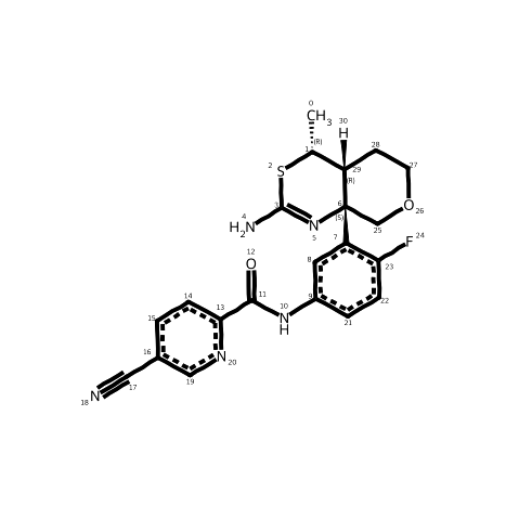 C[C@H]1SC(N)=N[C@@]2(c3cc(NC(=O)c4ccc(C#N)cn4)ccc3F)COCC[C@@H]12